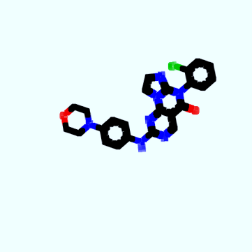 O=c1c2cnc(Nc3ccc(N4CCOCC4)cc3)nc2n2ccnc2n1-c1ccccc1Cl